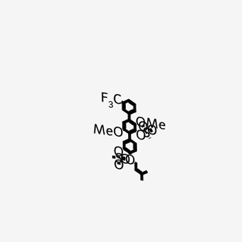 COc1cc(-c2cccc(C(F)(F)F)c2)c(OC)c(OS(C)(=O)=O)c1-c1ccc(OCC=C(C)C)c(OS(C)(=O)=O)c1